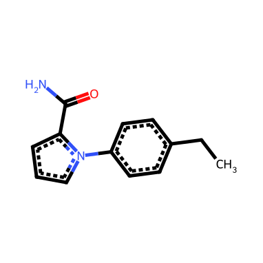 CCc1ccc(-n2cccc2C(N)=O)cc1